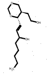 CCCCCC(O)C=C[C@@H]1OCOC[C@H]1CCO